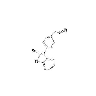 N#CCc1ccc(-c2c(Br)oc3ccccc23)cc1